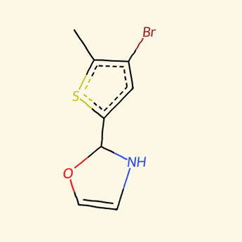 Cc1sc(C2NC=CO2)cc1Br